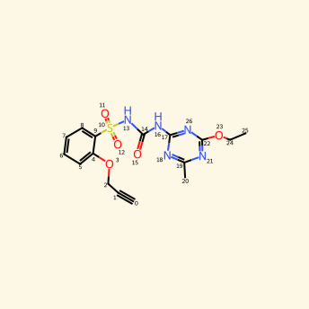 C#CCOc1ccccc1S(=O)(=O)NC(=O)Nc1nc(C)nc(OCC)n1